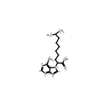 CC(C)CCCCCCC(C(=O)O)n1cnc2ncnc(N)c21